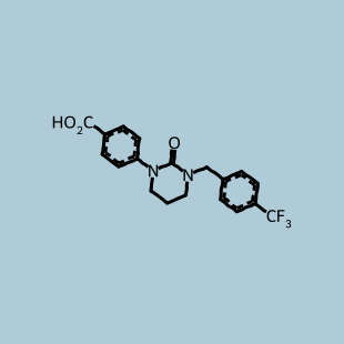 O=C(O)c1ccc(N2CCCN(Cc3ccc(C(F)(F)F)cc3)C2=O)cc1